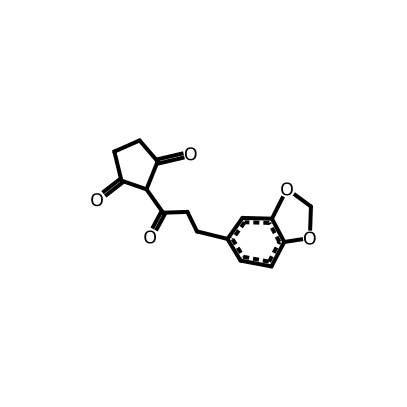 O=C1CCC(=O)C1C(=O)CCc1ccc2c(c1)OCO2